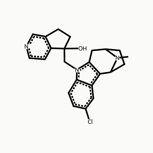 CN1C2CCC1c1c(n(CC3(O)CCc4cnccc43)c3ccc(Cl)cc13)C2